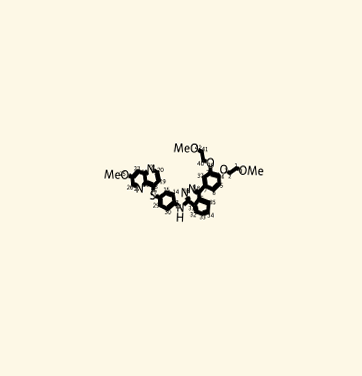 COCCOc1ccc(-c2nnc(Nc3ccc(Sc4ccnc5cc(OC)cnc45)cc3)c3ccccc23)cc1OCCOC